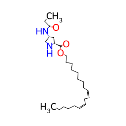 CCCCC/C=C\C/C=C\CCCCCCCCOC(=O)[C@@H]1C[C@@H](NC(=O)CC)CN1